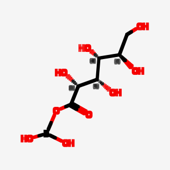 O=C(OB(O)O)[C@H](O)[C@@H](O)[C@H](O)[C@H](O)CO